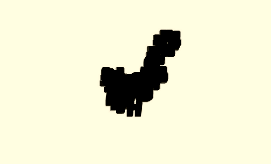 CC1CCN(c2ncccc2C(=O)NS(=O)(=O)c2cccc(OCCC3CCCCC3)n2)C1(C)C